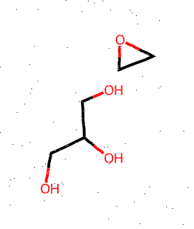 C1CO1.OCC(O)CO